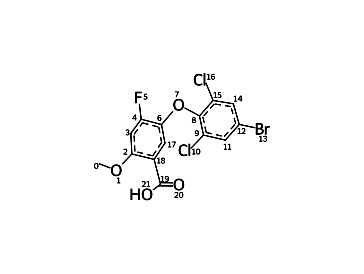 COc1cc(F)c(Oc2c(Cl)cc(Br)cc2Cl)cc1C(=O)O